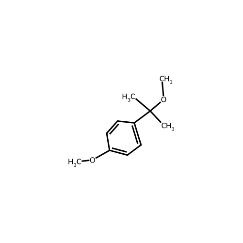 COc1ccc(C(C)(C)OC)cc1